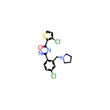 Clc1ccc(-c2noc(-c3sccc3Cl)n2)c(CN2CCCC2)c1